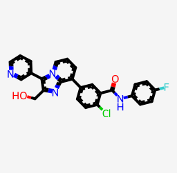 O=C(Nc1ccc(F)cc1)c1cc(-c2cccn3c(-c4cccnc4)c(CO)nc23)ccc1Cl